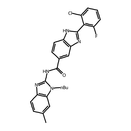 CCCCn1c(NC(=O)c2ccc3[nH]c(-c4c(F)cccc4Cl)nc3c2)nc2ccc(C)cc21